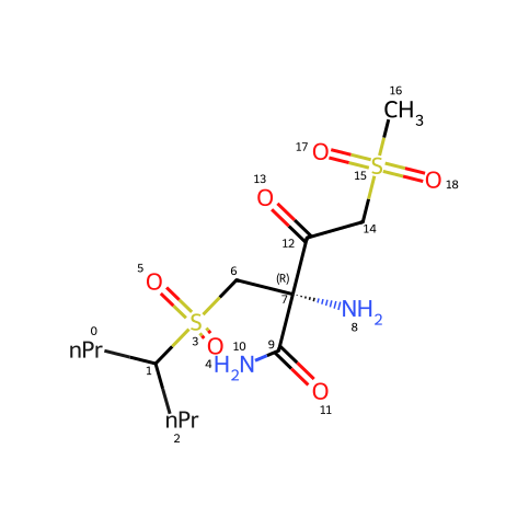 CCCC(CCC)S(=O)(=O)C[C@](N)(C(N)=O)C(=O)CS(C)(=O)=O